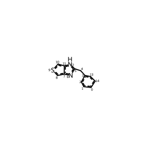 c1ccc(Cc2nc3cscc3[nH]2)cc1